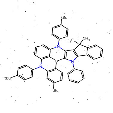 CC(C)(C)c1ccc(N2c3cc(C(C)(C)C)ccc3B3c4c2cccc4N(c2ccc(C(C)(C)C)cc2)c2c4c(n(-c5ccccc5)c23)-c2ccccc2C4(C)C)cc1